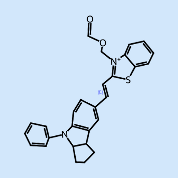 O=COC[n+]1c(/C=C/c2ccc3c(c2)C2CCCC2N3c2ccccc2)sc2ccccc21